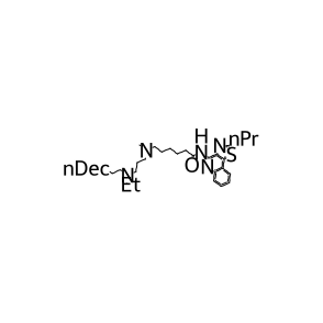 CCCCCCCCCCCCN(CC)CCCN(C)CCCCCC(=O)Nc1nc2ccccc2c2sc(CCC)nc12